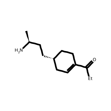 CCC(=O)C1=CC[C@H](CC[C@H](C)N)CC1